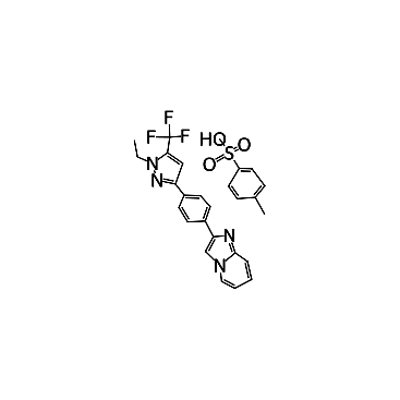 CCn1nc(-c2ccc(-c3cn4ccccc4n3)cc2)cc1C(F)(F)F.Cc1ccc(S(=O)(=O)O)cc1